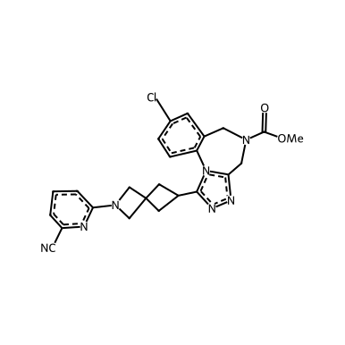 COC(=O)N1Cc2cc(Cl)ccc2-n2c(nnc2C2CC3(C2)CN(c2cccc(C#N)n2)C3)C1